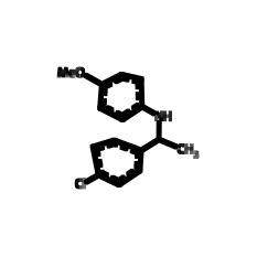 COc1ccc(NC(C)c2ccc(Cl)cc2)cc1